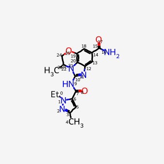 CCn1nc(C)cc1C(=O)Nc1nc2cc(C(N)=O)cc3c2n1[C@@H](C)CO3